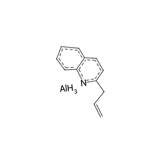 C=CCc1ccc2ccccc2n1.[AlH3]